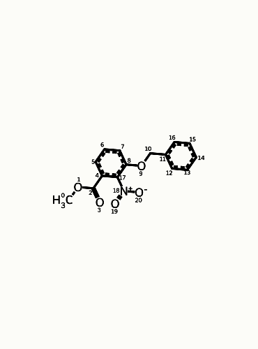 COC(=O)c1cccc(OCc2ccccc2)c1[N+](=O)[O-]